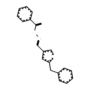 O=C(ON=Cc1csc(Cc2ccccc2)c1)c1ccccc1